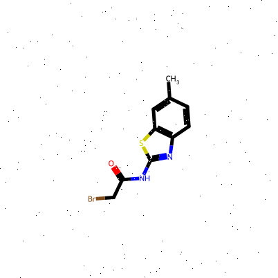 Cc1ccc2nc(NC(=O)CBr)sc2c1